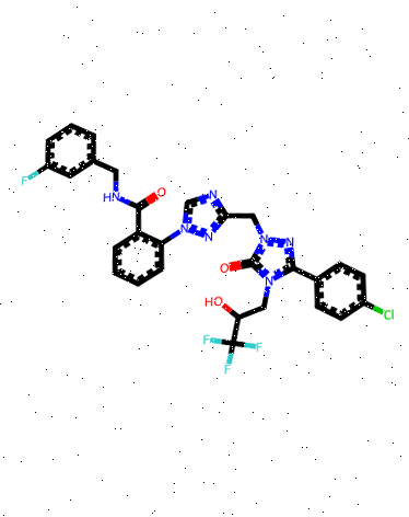 O=C(NCc1cccc(F)c1)c1ccccc1-n1cnc(Cn2nc(-c3ccc(Cl)cc3)n(CC(O)C(F)(F)F)c2=O)n1